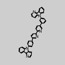 c1cc(-c2ccc(-c3ccc(-c4ccc(-n5c6ccccc6c6ncccc65)cc4)cn3)nc2)cc(-n2c3ccccc3c3ncccc32)c1